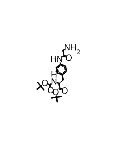 CC(C)(C)OC(=O)N[C@@H](Cc1ccc(NC(=O)CN)cc1)C(=O)OC(C)(C)C